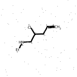 C=CCC(Cl)CNCC